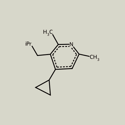 Cc1cc(C2CC2)c(CC(C)C)c(C)n1